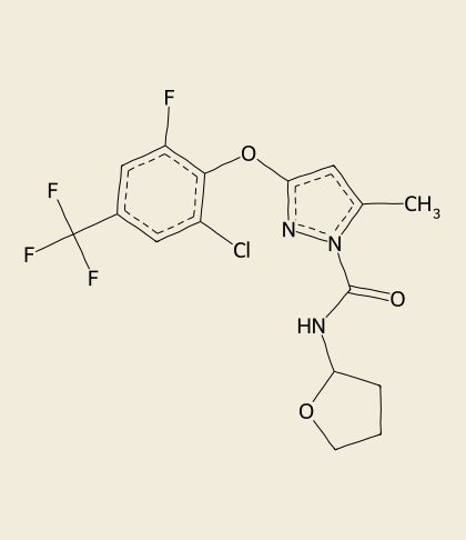 Cc1cc(Oc2c(F)cc(C(F)(F)F)cc2Cl)nn1C(=O)NC1CCCO1